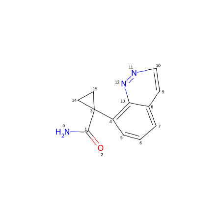 NC(=O)C1(c2cccc3ccnnc23)CC1